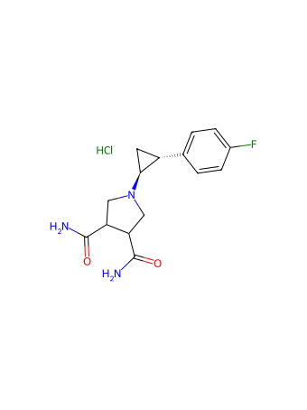 Cl.NC(=O)C1CN([C@H]2C[C@@H]2c2ccc(F)cc2)CC1C(N)=O